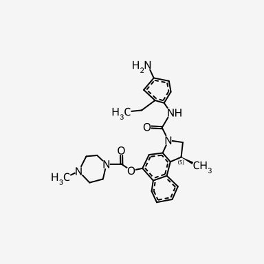 CCc1cc(N)ccc1NC(=O)N1C[C@@H](C)c2c1cc(OC(=O)N1CCN(C)CC1)c1ccccc21